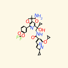 C[C@]1(C(N)=O)COc2c1cc(C(O)(CNC(=O)c1cc(OC3CC3)n3nc(C4CC4)cc3c1)C1CC1)nc2-c1ccc2c(c1)OC(F)(F)O2